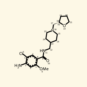 COc1cc(N)c(Cl)cc1C(=O)NCC1CCN(C[C@@H]2CCCO2)CC1